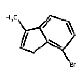 CC1=CCc2c(Br)cccc21